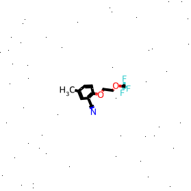 Cc1ccc(OCCOC(F)(F)F)c(C#N)c1